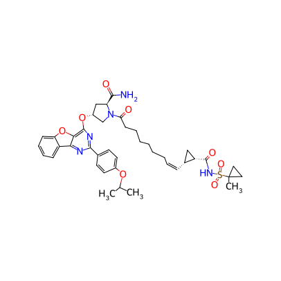 CC(C)Oc1ccc(-c2nc(O[C@@H]3C[C@@H](C(N)=O)N(C(=O)CCCCCC/C=C\[C@@H]4C[C@@H]4C(=O)NS(=O)(=O)C4(C)CC4)C3)c3oc4ccccc4c3n2)cc1